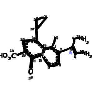 Cc1c(/C(=C/N)CN)ccn2c(=O)c(C(=O)O)cc(C3CC3)c12